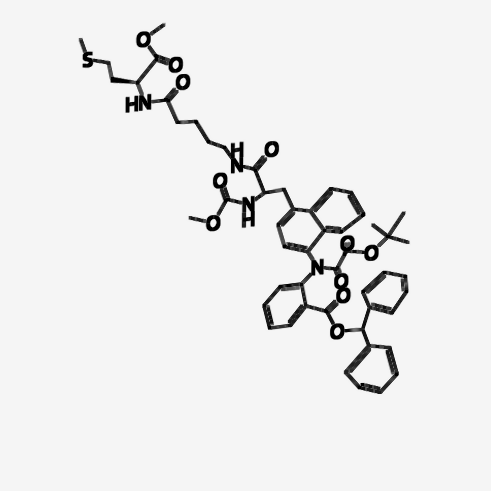 COC(=O)NC(Cc1ccc(N(C(=O)C(=O)OC(C)(C)C)c2ccccc2C(=O)OC(c2ccccc2)c2ccccc2)c2ccccc12)C(=O)NCCCCC(=O)N[C@@H](CCSC)C(=O)OC